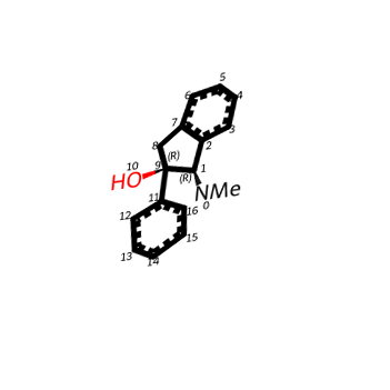 CN[C@@H]1c2ccccc2C[C@@]1(O)c1ccccc1